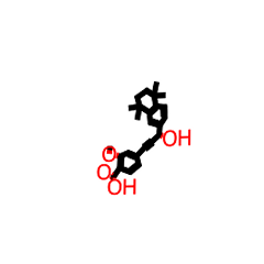 COc1cc(C#CC(O)c2ccc3c(c2)C(C)(C)CCC3(C)C)ccc1C(=O)O